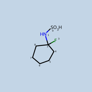 O=S(=O)(O)NC1(F)CCCCC1